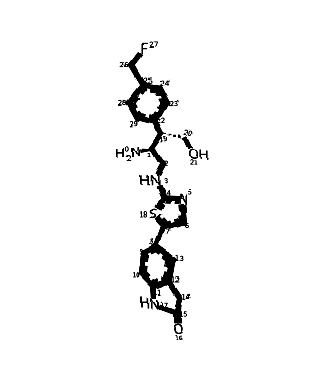 N[C@H](CNc1ncc(-c2ccc3c(c2)CC(=O)N3)s1)[C@@H](CO)c1ccc(CF)cc1